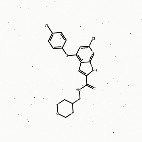 O=C(NCC1CCOCC1)c1cc2c(Sc3ccc(Cl)cc3)cc(Cl)cc2[nH]1